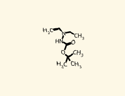 C=CN(CC)NC(=O)OC(C)(C)C